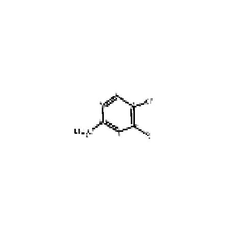 CCOC(=O)c1ccc(Cl)c(Br)c1